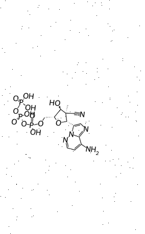 C[C@@]1(C#N)[C@H](O)[C@@H](COP(=O)(O)OP(=O)(O)OP(=O)(O)O)O[C@H]1c1cnc2c(N)ccnn12